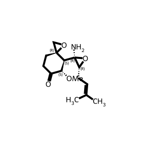 CO[C@@H]1C(=O)CC[C@]2(CO2)[C@H]1[C@@]1(N)O[C@@H]1CC=C(C)C